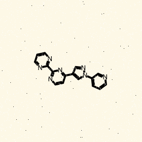 c1cnc(-c2nccc(-c3cnn(-c4cccnc4)c3)n2)nc1